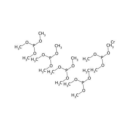 COP(OC)OC.COP(OC)OC.COP(OC)OC.COP(OC)OC.COP(OC)OC.[Cr]